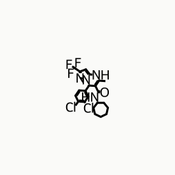 CC1=C(C(=O)NC2CCCCCC2)C(c2ccc(Cl)c(Cl)c2)n2nc(C(F)(F)F)cc2N1